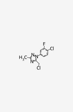 Cc1nc(CCl)n(-c2ccc(Cl)c(F)c2)n1